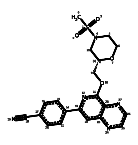 CS(=O)(=O)N1CCO[C@H](COc2nc(-c3ccc(C#N)cc3)cc3nccnc23)C1